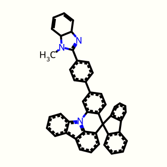 CN1C(c2ccc(-c3ccc4c(c3)-n3c5ccccc5c5cccc(c53)C43c4ccccc4-c4ccccc43)cc2)=NC2C=CC=CC21